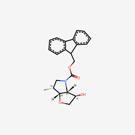 C[C@@H]1CN(C(=O)OCC2c3ccccc3-c3ccccc32)[C@H]2[C@@H]1OC[C@@H]2O